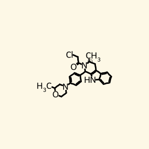 CC1CN(c2ccc(C3c4[nH]c5ccccc5c4C[C@H](C)N3C(=O)CCl)cc2)CCO1